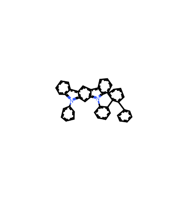 c1ccc(-c2ccccc2-c2ccccc2-n2c3ccccc3c3cc4c5ccccc5n(-c5ccccc5)c4cc32)cc1